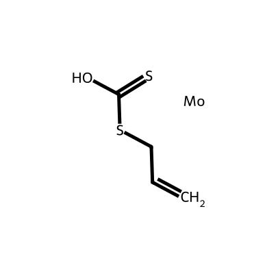 C=CCSC(O)=S.[Mo]